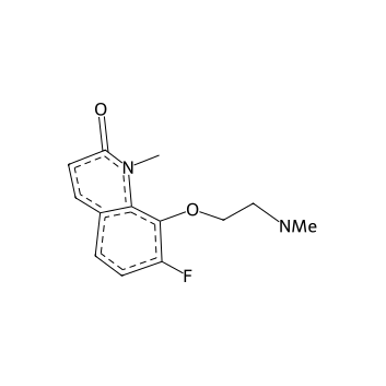 CNCCOc1c(F)ccc2ccc(=O)n(C)c12